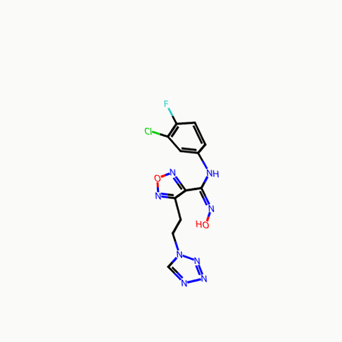 O/N=C(/Nc1ccc(F)c(Cl)c1)c1nonc1CCn1cnnn1